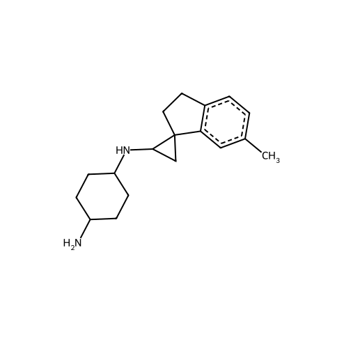 Cc1ccc2c(c1)C1(CC2)CC1NC1CCC(N)CC1